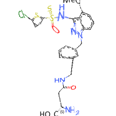 COc1cccc2c1c(NS(=O)(=S)c1ccc(Cl)s1)nn2Cc1cccc(CNC(=O)C[C@H](N)C(=O)O)c1